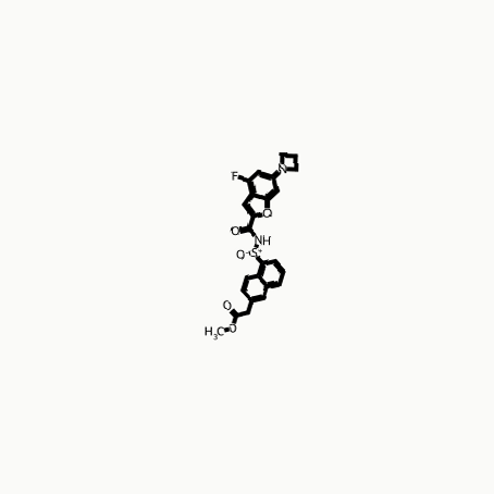 COC(=O)Cc1ccc2c([S+]([O-])NC(=O)c3cc4c(F)cc(N5CCC5)cc4o3)cccc2c1